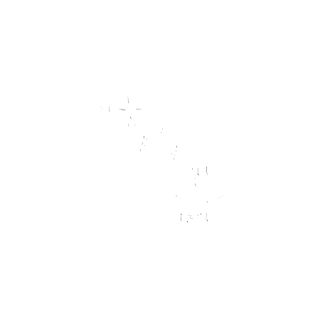 Cc1c(Nc2ccc(O[Si](C)(C)C(C)(C)C)cc2)cnn1C